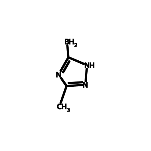 Bc1nc(C)n[nH]1